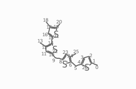 Cc1ccc(Cc2sc(Cc3cc(C)c(-c4cc(C)c(C)s4)s3)cc2C)s1